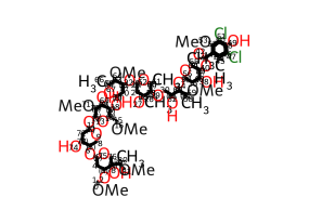 COCO[C@@H]1C[C@H](O[C@H]2CO[C@@H](O[C@@H]3O[C@H](COC)[C@@H](O[C@H]4C[C@@H](O[C@H]5C[C@@](C)(O)[C@H](OC[C@@H](O)[C@H](O[C@H]6C[C@@H](O)[C@H](OC(=O)c7c(C)c(Cl)c(O)c(Cl)c7OC)[C@@H](C)O6)[C@@H](C)OC)[C@@H](C)O5)[C@@H](OC)[C@@H](C)O4)[C@H](O)[C@@H]3OC)C[C@@H]2O)OC[C@@]1(O)C(C)OC